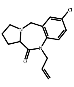 C=CCN1C(=O)C2CCCN2Cc2cc(Cl)ccc21